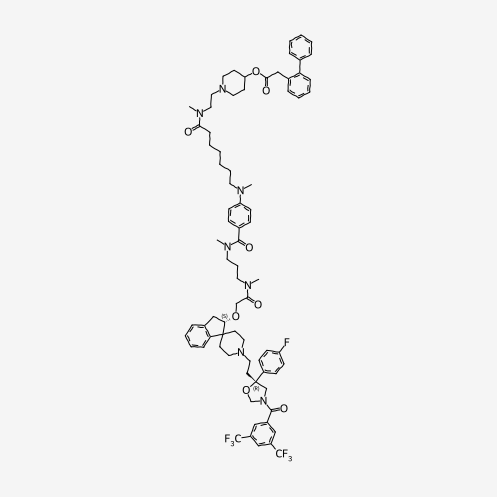 CN(CCN1CCC(OC(=O)Cc2ccccc2-c2ccccc2)CC1)C(=O)CCCCCCN(C)c1ccc(C(=O)N(C)CCCN(C)C(=O)CO[C@H]2Cc3ccccc3C23CCN(CC[C@@]2(c4ccc(F)cc4)CN(C(=O)c4cc(C(F)(F)F)cc(C(F)(F)F)c4)CO2)CC3)cc1